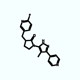 Cc1c(-c2ccncc2)n[nH]c1N1CCC(Cc2ccc(F)nc2)C1=O